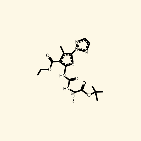 CCOC(=O)c1c(NC(=O)N[C@@H](C)C(=O)OC(C)(C)C)sc(-n2nccn2)c1C